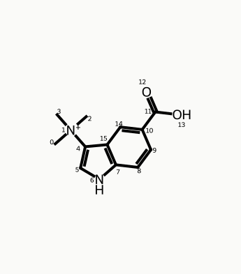 C[N+](C)(C)c1c[nH]c2ccc(C(=O)O)cc12